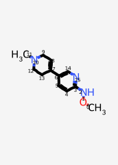 CONc1ccc(C2=CCN(C)CC2)cn1